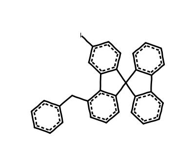 Ic1ccc2c(c1)-c1c(Cc3ccccc3)cccc1C21c2ccccc2-c2ccccc21